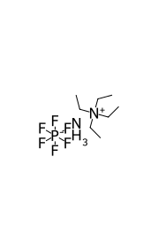 CC[N+](CC)(CC)CC.F[P-](F)(F)(F)(F)F.N